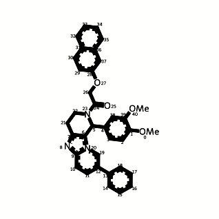 COc1ccc(C2c3c(nc4ccc(-c5ccccc5)cn34)CCN2C(=O)COc2ccc3ccccc3c2)cc1OC